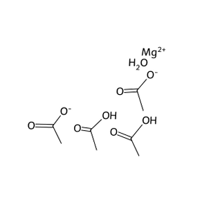 CC(=O)O.CC(=O)O.CC(=O)[O-].CC(=O)[O-].O.[Mg+2]